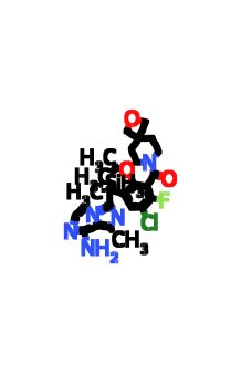 Cc1nc([C@@](C)([SiH3])c2cc(Cl)c(F)c(C(=O)N3CCC4(CC3)COC4)c2OC(C)C)n2ccnc(N)c12